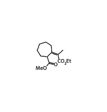 CCOC(=O)C(C)=C1CCCCCC1C(=O)OC